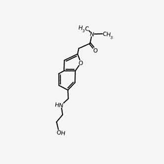 CN(C)C(=O)Cc1cc2ccc(CNCCO)cc2o1